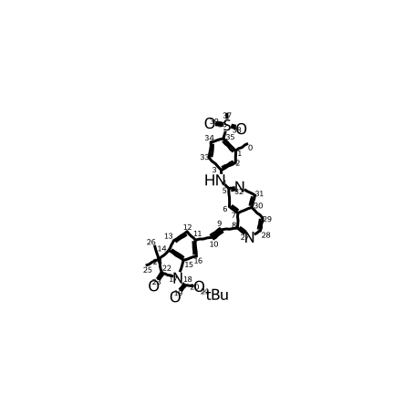 Cc1cc(Nc2cc3c(C#Cc4ccc5c(c4)N(C(=O)OC(C)(C)C)C(=O)C5(C)C)nccc3cn2)ccc1S(C)(=O)=O